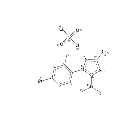 Cc1cc(C(C)C)ccc1-n1nc(C(F)(F)F)nc1N(C)C.O=S(=O)(Cl)Cl